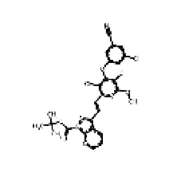 COc1nc(C=Cc2nn(C(=O)OC(C)(C)C)c3ncccc23)c(Cl)c(Oc2cc(Cl)cc(C#N)c2)c1Cl